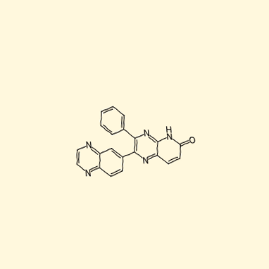 O=c1ccc2nc(-c3ccc4nccnc4c3)c(-c3ccccc3)nc2[nH]1